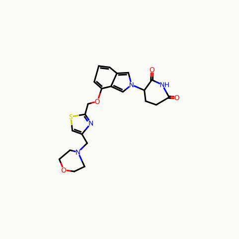 O=C1CCC(n2cc3cccc(OCc4nc(CN5CCOCC5)cs4)c3c2)C(=O)N1